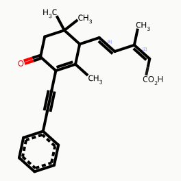 CC1=C(C#Cc2ccccc2)C(=O)CC(C)(C)C1/C=C/C(C)=C\C(=O)O